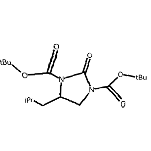 CC(C)CC1CN(C(=O)OC(C)(C)C)C(=O)N1C(=O)OC(C)(C)C